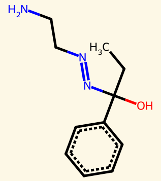 CCC(O)(/N=N/CCN)c1ccccc1